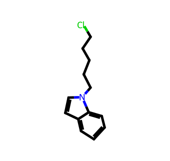 ClCCCCCn1ccc2ccccc21